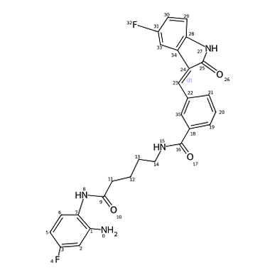 Nc1cc(F)ccc1NC(=O)CCCCNC(=O)c1cccc(/C=C2\C(=O)Nc3ccc(F)cc32)c1